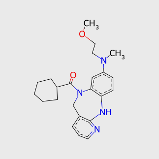 COCCN(C)c1ccc2c(c1)N(C(=O)C1CCCCC1)Cc1cccnc1N2